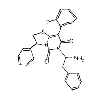 NC(Cc1ccccc1)n1c(=O)c(-c2ccccc2F)c2n(c1=O)C(c1ccccc1)CS2